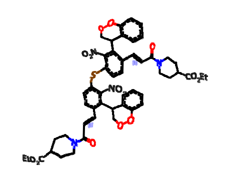 CCOC(=O)C1CCN(C(=O)/C=C/c2ccc(Sc3ccc(/C=C/C(=O)N4CCC(C(=O)OCC)CC4)c(C4COOc5ccccc54)c3[N+](=O)[O-])c([N+](=O)[O-])c2C2COOc3ccccc32)CC1